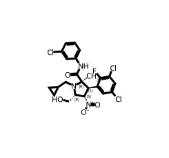 C[C@]1(C(=O)Nc2cccc(Cl)c2)[C@@H](c2cc(Cl)cc(Cl)c2F)[C@H]([N+](=O)[O-])[C@H](CO)N1CC1CC1